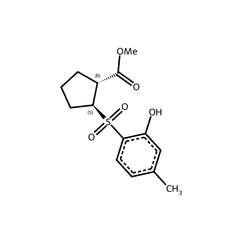 COC(=O)[C@H]1CCC[C@@H]1S(=O)(=O)c1ccc(C)cc1O